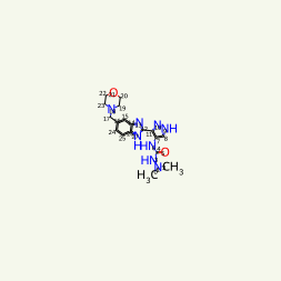 CN(C)NC(=O)Nc1c[nH]nc1-c1nc2cc(CN3CCOCC3)ccc2[nH]1